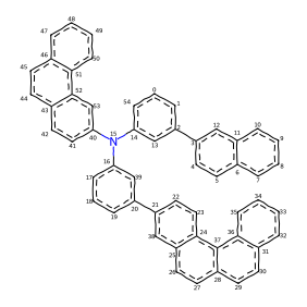 c1cc(-c2ccc3ccccc3c2)cc(N(c2cccc(-c3ccc4c(ccc5ccc6ccccc6c54)c3)c2)c2ccc3ccc4ccccc4c3c2)c1